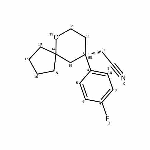 N#CC[C@@]1(c2ccc(F)cc2)CCOC2(CCCC2)C1